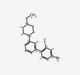 CCN1CCN(c2cccc(-c3ccc(Br)cc3F)n2)CC1